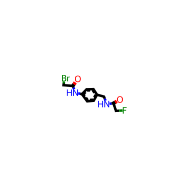 O=C(CF)NCc1ccc(NC(=O)CBr)cc1